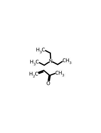 C=CC(C)=O.CCN(CC)CC